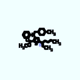 C/C=C(\CCCC)c1cc(N(CC2CCC(C)CC2)c2ccccc2)c(C(=O)OC)s1